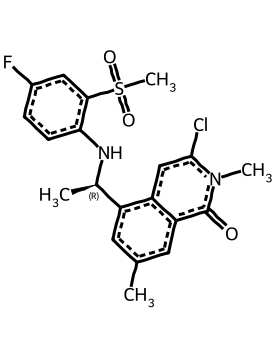 Cc1cc([C@@H](C)Nc2ccc(F)cc2S(C)(=O)=O)c2cc(Cl)n(C)c(=O)c2c1